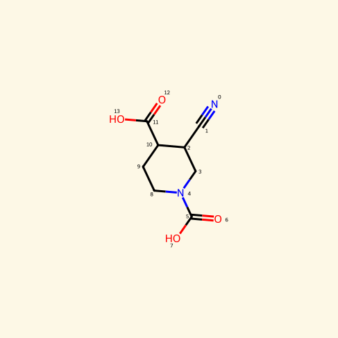 N#CC1CN(C(=O)O)CCC1C(=O)O